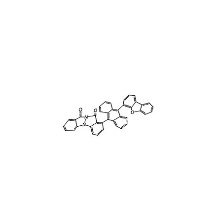 O=c1c2ccccc2n2c3cccc(-c4c5ccccc5c(-c5cccc6c5oc5ccccc56)c5ccccc45)c3c(=O)n12